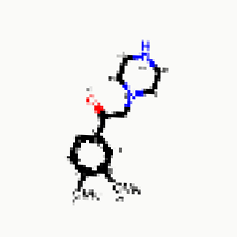 COc1ccc(C(=O)CN2CCNCC2)cc1OC